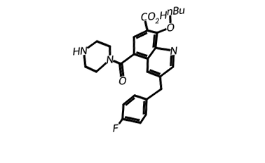 CCCCOc1c(C(=O)O)cc(C(=O)N2CCNCC2)c2cc(Cc3ccc(F)cc3)cnc12